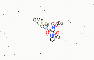 CCc1sc(CCCOC)cc1CN(C(=O)[C@@H]1C[C@H](C(=O)NC2(c3ccccc3)CCCC2)CN(C(=O)OC(C)(C)C)C1)C1CC1